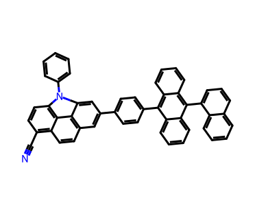 N#Cc1ccc2c3c1ccc1cc(-c4ccc(-c5c6ccccc6c(-c6cccc7ccccc67)c6ccccc56)cc4)cc(c13)n2-c1ccccc1